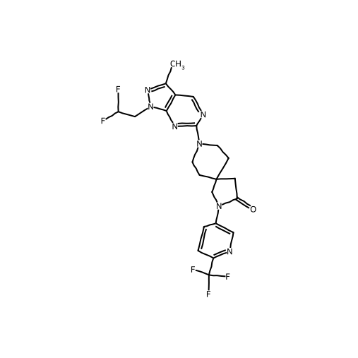 Cc1nn(CC(F)F)c2nc(N3CCC4(CC3)CC(=O)N(c3ccc(C(F)(F)F)nc3)C4)ncc12